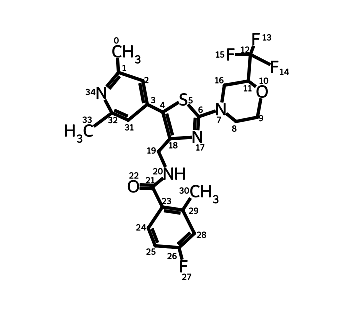 Cc1cc(-c2sc(N3CCOC(C(F)(F)F)C3)nc2CNC(=O)c2ccc(F)cc2C)cc(C)n1